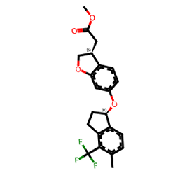 COC(=O)C[C@@H]1COc2cc(O[C@@H]3CCc4c3ccc(C)c4C(F)(F)F)ccc21